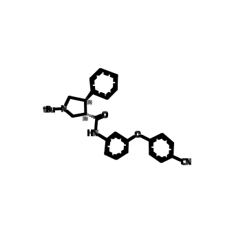 CC(C)(C)N1C[C@@H](C(=O)Nc2cccc(Oc3ccc(C#N)cc3)c2)[C@H](c2ccccc2)C1